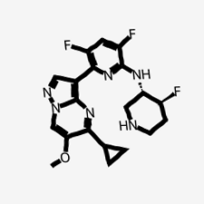 COc1cn2ncc(-c3nc(N[C@H]4CNCC[C@@H]4F)c(F)cc3F)c2nc1C1CC1